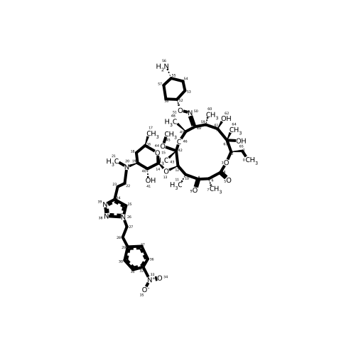 CC[C@H]1OC(=O)[C@H](C)C(=O)[C@H](C)[C@@H](O[C@@H]2O[C@H](C)C[C@H](N(C)CCc3cn(CCc4ccc([N+](=O)[O-])cc4)nn3)[C@H]2O)[C@](C)(OC)C[C@@H](C)/C(=N\O[C@H]2CC[C@@H](N)CC2)[C@H](C)[C@@H](O)[C@]1(C)O